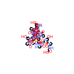 O=C(O)CNC(=O)[C@@H]1CCCN1C(=O)[C@@H]1C[C@@H](O)CN1C(=O)CNC(=O)[C@@H]1CCCN1C(=O)[C@H](CS)NC(=O)CNC(=O)[C@@H]1CCCN1C(=O)[C@@H]1C[C@@H](O)CN1C(=O)CNC(=O)[C@@H]1CCCN1C(=O)[C@@H]1C[C@@H](O)CN1C(=O)CNC(=O)[C@@H]1CCCN1C(=O)[C@@H]1C[C@@H](O)CN1C(=O)CNC(=O)[C@@H]1CCCN1C(=O)[C@@H]1C[C@@H](O)CN1C(=O)CNC(=O)[C@@H]1CCCN1C(=O)[C@@H]1C[C@@H](O)CN1